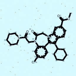 COC(=O)c1ccc2c(C3CCCCC3)c3n(c2c1)CC(=O)N(CC(=O)N1CCCCC1)c1cc(Cl)ccc1-3